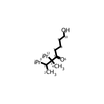 CC(C)C(C)C(C)(C(=O)CCCCO)C(C)C